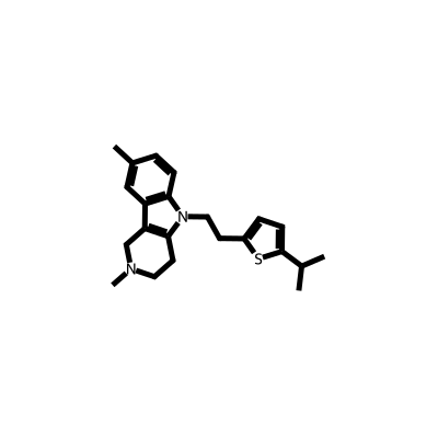 Cc1ccc2c(c1)c1c(n2CCc2ccc(C(C)C)s2)CCN(C)C1